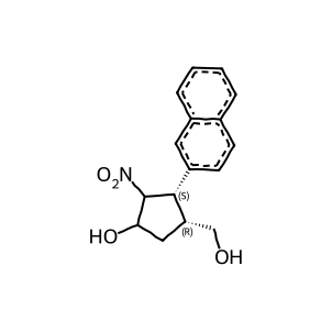 O=[N+]([O-])C1C(O)C[C@@H](CO)[C@H]1c1ccc2ccccc2c1